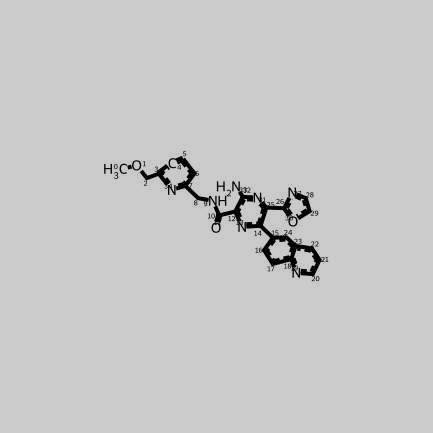 COCc1cccc(CNC(=O)c2nc(-c3ccc4ncccc4c3)c(-c3ncco3)nc2N)n1